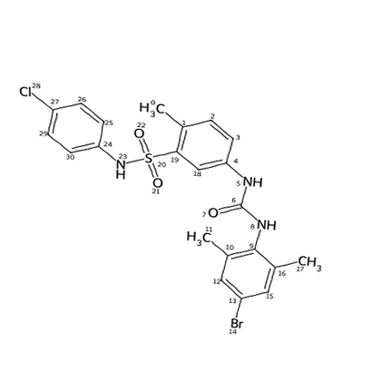 Cc1ccc(NC(=O)Nc2c(C)cc(Br)cc2C)cc1S(=O)(=O)Nc1ccc(Cl)cc1